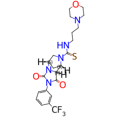 O=C1[C@H]2[C@@H]3C[C@@H](CN3C(=S)NCCCN3CCOCC3)N2C(=O)N1c1cccc(C(F)(F)F)c1